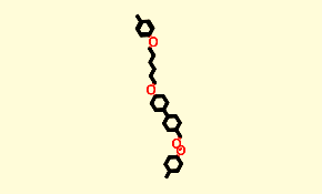 Cc1ccc(OCCCCCCOC2CCC(C3CCC(COOC4CCC(C)CC4)CC3)CC2)cc1